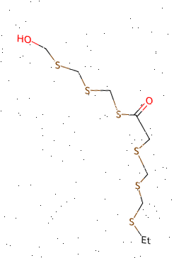 CCSCSCSCC(=O)SCSCSCO